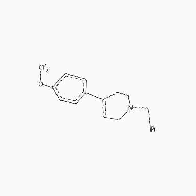 C[C](C)CN1CC=C(c2ccc(OC(F)(F)F)cc2)CC1